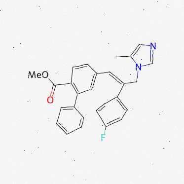 COC(=O)c1ccc(C=C(Cn2cncc2C)c2ccc(F)cc2)cc1-c1ccccc1